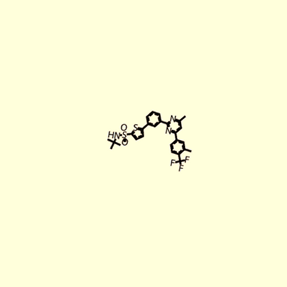 Cc1cc(-c2ccc(C(F)(F)F)c(C)c2)nc(-c2cccc(-c3ccc(S(=O)(=O)NC(C)(C)C)s3)c2)n1